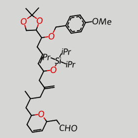 C=C(CC(C)CC1CC=CC(CC=O)O1)CC(/C=C/CC(OCc1ccc(OC)cc1)C1COC(C)(C)O1)O[Si](C(C)C)(C(C)C)C(C)C